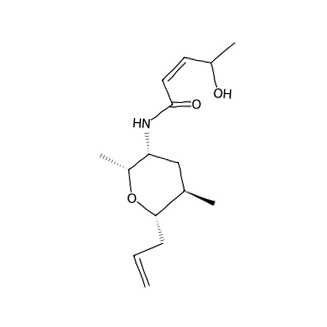 C=CC[C@@H]1O[C@H](C)[C@H](NC(=O)/C=C\C(C)O)C[C@H]1C